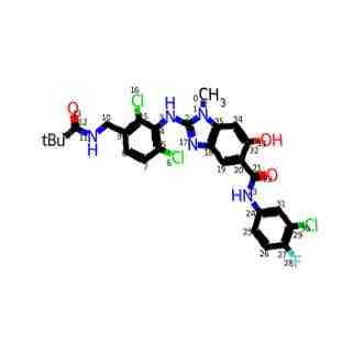 Cn1c(Nc2c(Cl)ccc(CNC(=O)C(C)(C)C)c2Cl)nc2cc(C(=O)Nc3ccc(F)c(Cl)c3)c(O)cc21